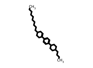 CCCCCCCCCCC1CC=C(c2ccc(C3CCC(CCCC)CC3)cc2)CC1